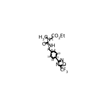 CCOC(=O)CN(C)C(=O)NCc1ccc(-c2noc(C(F)(F)F)n2)cc1